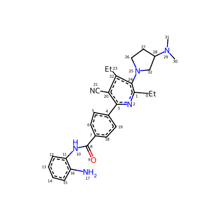 CCc1nc(-c2ccc(C(=O)Nc3ccccc3N)cc2)c(C#N)c(CC)c1N1CCC(N(C)C)C1